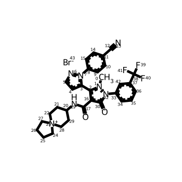 Cn1c(-c2ccnn2-c2ccc(C#N)cc2)c(C(=O)NC2CC[N+]3(CCCC3)CC2)c(=O)n1-c1cccc(C(F)(F)F)c1.[Br-]